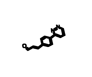 O=CC=Cc1ccc(-c2cccnn2)cc1